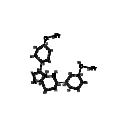 CC(C)Oc1ccc(-c2cnc3ccc(-c4cccc(OC(C)C)c4)nn23)cc1